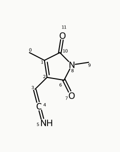 CC1=C(C=C=N)C(=O)N(C)C1=O